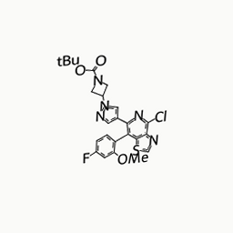 COc1cc(F)ccc1-c1c(-c2cnn(C3CN(C(=O)OC(C)(C)C)C3)c2)nc(Cl)c2ncsc12